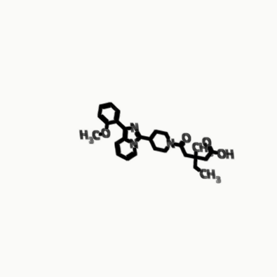 CCC(C)(CC(=O)O)CC(=O)N1CCC(c2nc(-c3ccccc3OC)c3ccccn23)CC1